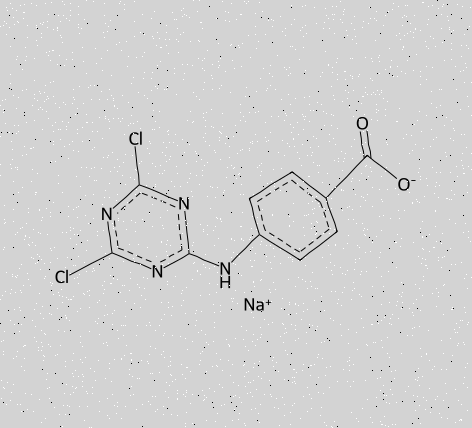 O=C([O-])c1ccc(Nc2nc(Cl)nc(Cl)n2)cc1.[Na+]